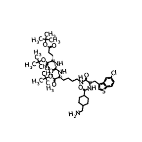 CC(C)(C)OC(=O)CC[C@H](NC(=O)N[C@@H](CCCCNC(=O)[C@@H](Cc1csc2ccc(Cl)cc12)NC(=O)C1CCC(CN)CC1)C(=O)OC(C)(C)C)C(=O)OC(C)(C)C